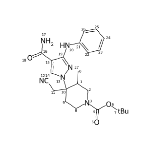 CC1CN(C(=O)OC(C)(C)C)CCC1(CC#N)n1cc(C(N)=O)c(Nc2ccccc2)n1